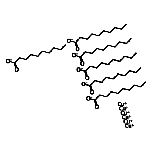 CCCCCCCCCC(=O)[O-].CCCCCCCCCC(=O)[O-].CCCCCCCCCC(=O)[O-].CCCCCCCCCC(=O)[O-].CCCCCCCCCC(=O)[O-].CCCCCCCCCC(=O)[O-].[Cu+].[Cu+].[Cu+].[Cu+].[Cu+].[Cu+]